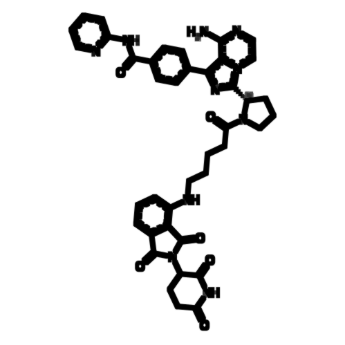 Nc1nccn2c([C@@H]3CCCN3C(=O)CCCCNc3cccc4c3C(=O)N(C3CCC(=O)NC3=O)C4=O)nc(-c3ccc(C(=O)Nc4ccccn4)cc3)c12